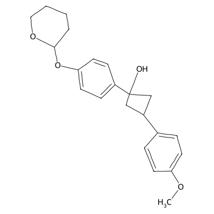 COc1ccc(C2CC(O)(c3ccc(OC4CCCCO4)cc3)C2)cc1